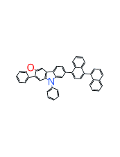 c1ccc(-n2c3cc(-c4ccc(-c5cccc6ccccc56)c5ccccc45)ccc3c3cc4oc5ccccc5c4cc32)cc1